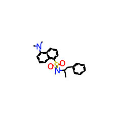 CC(Cc1ccccc1)N(C)S(=O)(=O)c1cccc2c(N(C)C)cccc12